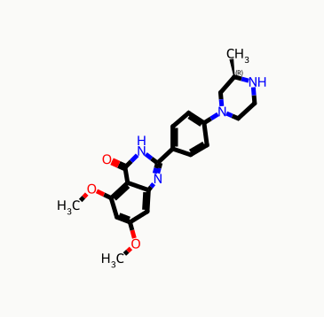 COc1cc(OC)c2c(=O)[nH]c(-c3ccc(N4CCN[C@H](C)C4)cc3)nc2c1